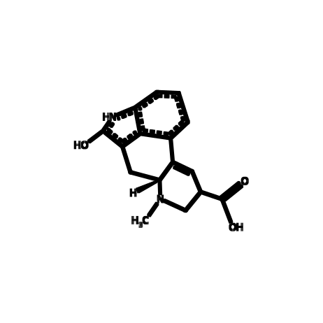 CN1CC(C(=O)O)C=C2c3cccc4[nH]c(O)c(c34)C[C@H]21